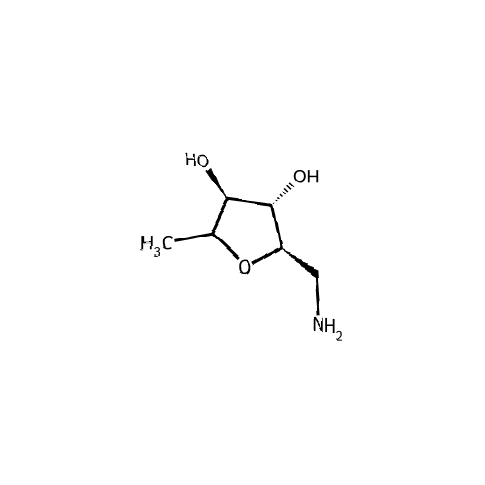 CC1O[C@H](CN)[C@@H](O)[C@@H]1O